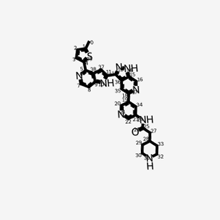 Cc1ccc(-c2nccc3[nH]c(-c4n[nH]c5cnc(-c6cncc(NC(=O)CC7CCNCC7)c6)cc45)cc23)s1